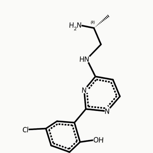 C[C@@H](N)CNc1ccnc(-c2cc(Cl)ccc2O)n1